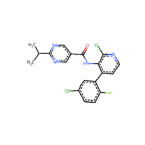 CC(C)c1ncc(C(=O)Nc2c(-c3cc(Cl)ccc3F)ccnc2Cl)cn1